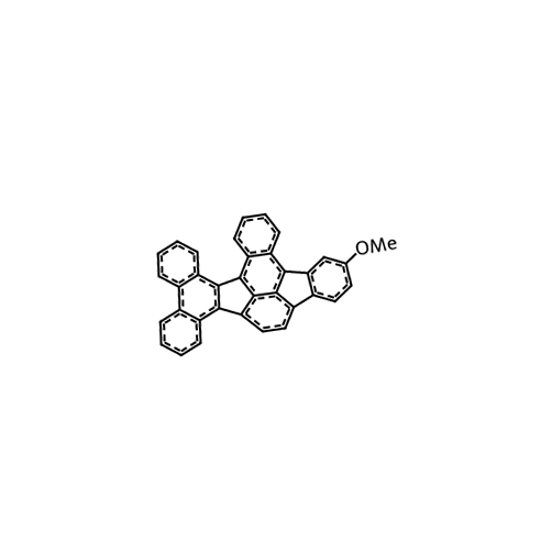 COc1ccc2c(c1)-c1c3ccccc3c3c4c(ccc-2c14)-c1c-3c2ccccc2c2ccccc12